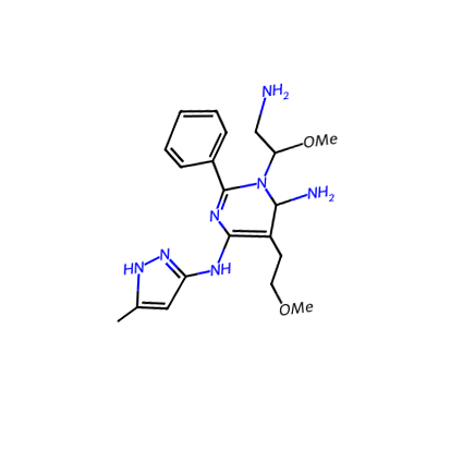 COCCC1=C(Nc2cc(C)[nH]n2)N=C(c2ccccc2)N(C(CN)OC)C1N